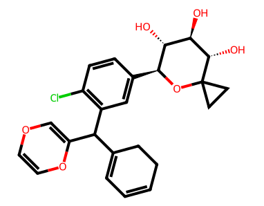 O[C@@H]1[C@@H](O)[C@H](O)C2(CC2)O[C@H]1c1ccc(Cl)c(C(C2=CC=CCC2)C2=COC=CO2)c1